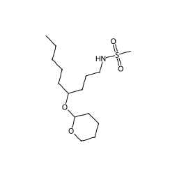 CCCCCC(CCCNS(C)(=O)=O)OC1CCCCO1